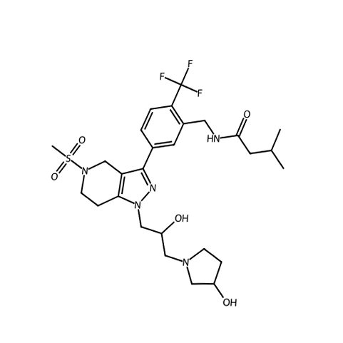 CC(C)CC(=O)NCc1cc(-c2nn(CC(O)CN3CCC(O)C3)c3c2CN(S(C)(=O)=O)CC3)ccc1C(F)(F)F